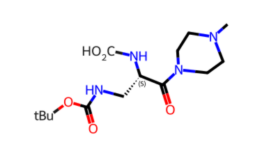 CN1CCN(C(=O)[C@H](CNC(=O)OC(C)(C)C)NC(=O)O)CC1